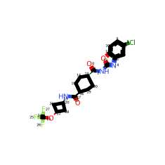 O=C(Nc1nc2cc(Cl)ccc2o1)[C@H]1CC[C@H](C(=O)N[C@H]2C[C@@H](OC(F)(F)F)C2)CC1